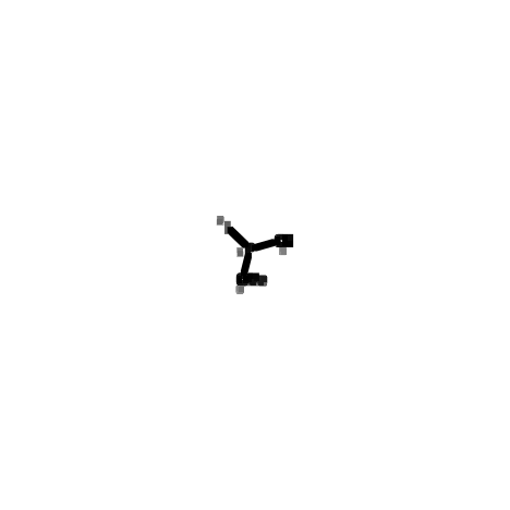 COP(I)C#N